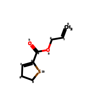 C=CCOC(=O)C1=CCCS1